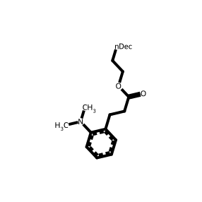 CCCCCCCCCCCCOC(=O)CCc1ccccc1N(C)C